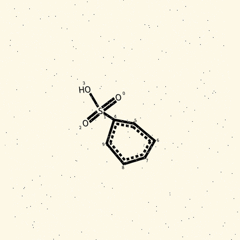 O=S(=O)(O)c1[c]ccc[c]1